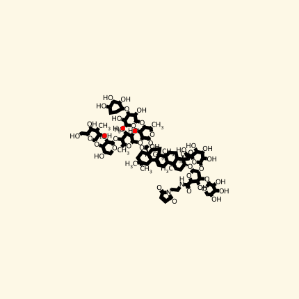 CC1OC(OC2C(C)OC(OC(=O)[C@]34CCC(C)(C)CC3C3=CCC5[C@@]6(C)CC[C@H](OC7OC(C(=O)NCCN8C(=O)C=CC8=O)C(O)C(OC8OCC(O)C(O)C8O)C7OC7OC(CO)C(O)C(O)C7O)[C@@](C)(C=O)C6CC[C@@]5(C)[C@]3(C)C[C@H]4O)C(OC3OC(C)C(OC4OCC(O)C(OC5OC(CO)C(O)C(C)C5O)C4O)C(O)C3O)C2O)C(O)C(OC2CCC(O)C(O)C2O)C1O